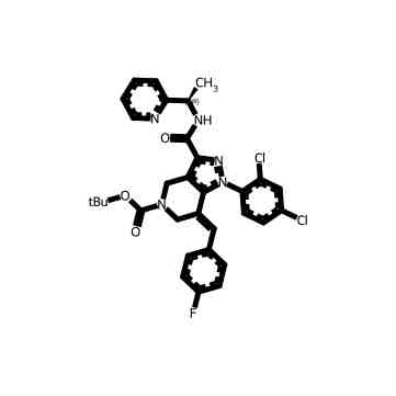 C[C@@H](NC(=O)c1nn(-c2ccc(Cl)cc2Cl)c2c1CN(C(=O)OC(C)(C)C)CC2=Cc1ccc(F)cc1)c1ccccn1